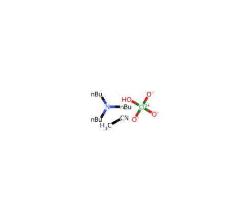 CC#N.CCCCN(CCCC)CCCC.[O-][Cl+3]([O-])([O-])O